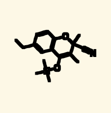 CCc1ccc2c(c1)C(O[Si](C)(C)C)=C(C)C(C)(C#N)O2